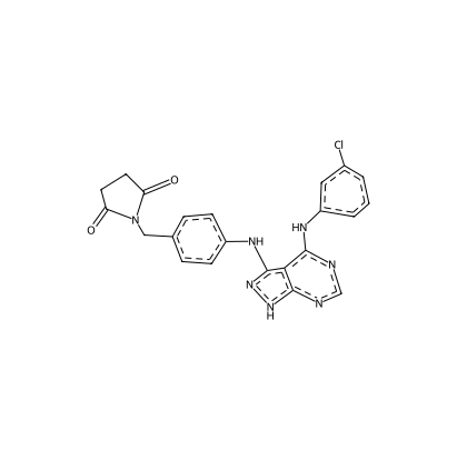 O=C1CCC(=O)N1Cc1ccc(Nc2n[nH]c3ncnc(Nc4cccc(Cl)c4)c23)cc1